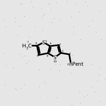 CCCCCCc1cc2sc(C)cc2s1